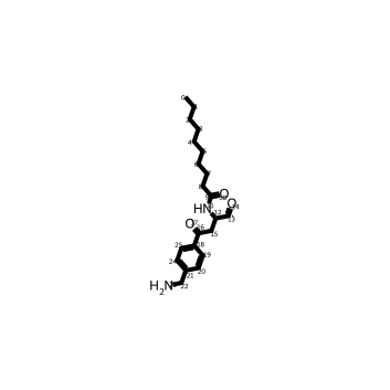 CCCCCCCCCC(=O)NC([C]=O)CC(=O)c1ccc(CN)cc1